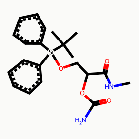 CNC(=O)C(CO[Si](c1ccccc1)(c1ccccc1)C(C)(C)C)OC(N)=O